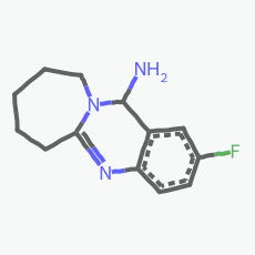 NC1c2cc(F)ccc2N=C2CCCCCN21